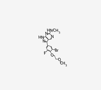 CNc1ncc2c(-c3cc(F)c(OCCOC)c(Br)c3)n[nH]c2n1